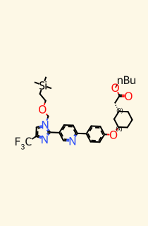 CCCCOC(=O)C[C@@H]1CCC[C@@H](Oc2ccc(-c3ccc(-c4nc(C(F)(F)F)cn4COCC[Si](C)(C)C)cn3)cc2)C1